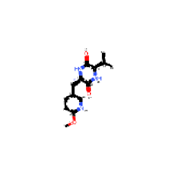 COc1ccc(/C=c2/[nH]c(=O)c(=C(C)C)[nH]c2=O)cn1